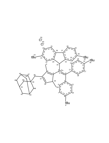 CC1=[C]([Zr+2](=[C](c2ccc(C(C)(C)C)cc2)c2ccc(C(C)(C)C)cc2)[CH]2c3cc(C(C)(C)C)ccc3-c3ccc(C(C)(C)C)cc32)C(C)C=C1CC12CC3CC(CC(C3)C1)C2.[Cl-].[Cl-]